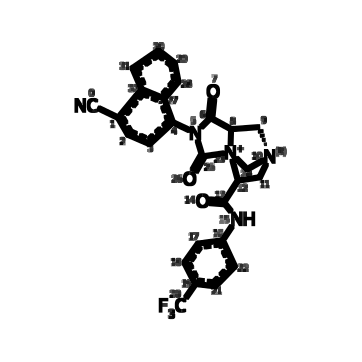 N#Cc1ccc(N2C(=O)C3C[N@]4CC(C(=O)Nc5ccc(C(F)(F)F)cc5)[N+]3(C4)C2=O)c2ccccc12